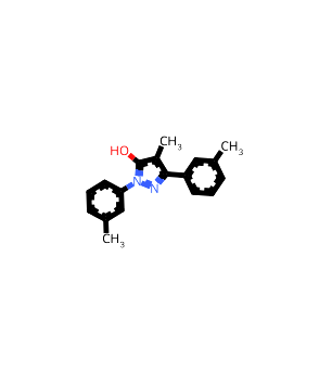 Cc1cccc(-c2nn(-c3cccc(C)c3)c(O)c2C)c1